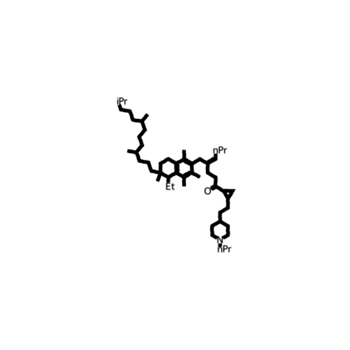 CCC/C=C(/CCC(=O)C1CC1CCC1CCN(CCC)CC1)Cc1c(C)c(C)c2c(c1C)CCC(C)(CCCC(C)CCCC(C)CCCC(C)C)C2CC